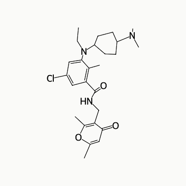 CCN(c1cc(Cl)cc(C(=O)NCc2c(C)oc(C)cc2=O)c1C)C1CCC(N(C)C)CC1